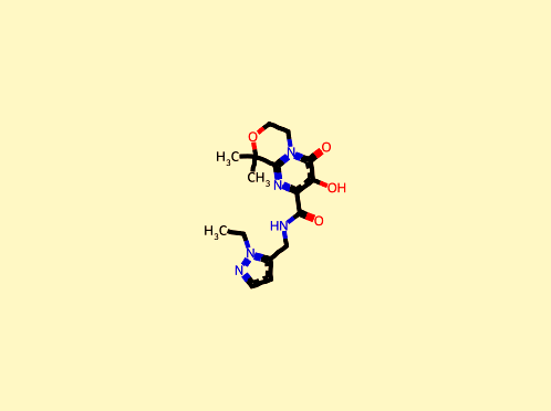 CCn1nccc1CNC(=O)c1nc2n(c(=O)c1O)CCOC2(C)C